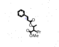 COC(=O)C(C(C)C)C(C)OC(=O)/C=C/c1ccccc1